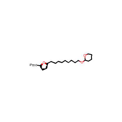 CCCC(C)c1ccc(CCCCCCCCCOC2CCCCO2)o1